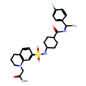 COC(=O)CN1CCCc2ccc(S(=O)(=O)NC3CCC(C(=O)NC(C)c4ccc(F)cc4)CC3)cc21